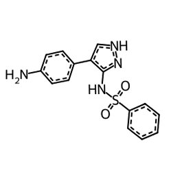 Nc1ccc(-c2c[nH]nc2NS(=O)(=O)c2ccccc2)cc1